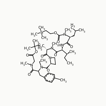 CC[C@H](C)[C@H](NC(=O)[C@H](CC(C)C)N(C)C(=O)OCC[Si](C)(C)C)C(=O)N(C)[C@@H](C)C(=O)N1CC[C@H]1C(=O)N(CC)C(Cc1ccc(C)cc1)C(=O)N(C)CC(=O)OC(C)(C)C